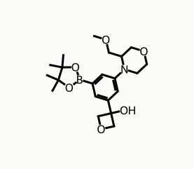 COCC1COCCN1c1cc(B2OC(C)(C)C(C)(C)O2)cc(C2(O)COC2)c1